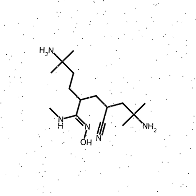 CN/C(=N\O)C(CCC(C)(C)N)CC(C#N)CC(C)(C)N